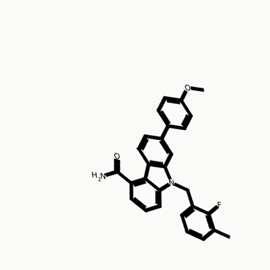 COc1ccc(-c2c[c]c3c4c(C(N)=O)cccc4n(Cc4cccc(C)c4F)c3c2)cc1